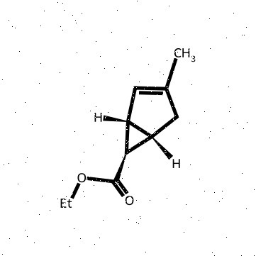 CCOC(=O)[C@H]1[C@@H]2C=C(C)C[C@@H]21